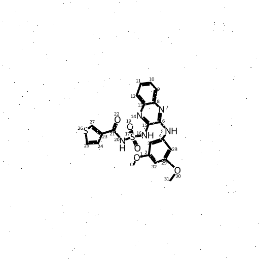 COc1cc(Nc2nc3ccccc3nc2NS(=O)(=O)NC(=O)c2ccsc2)cc(OC)c1